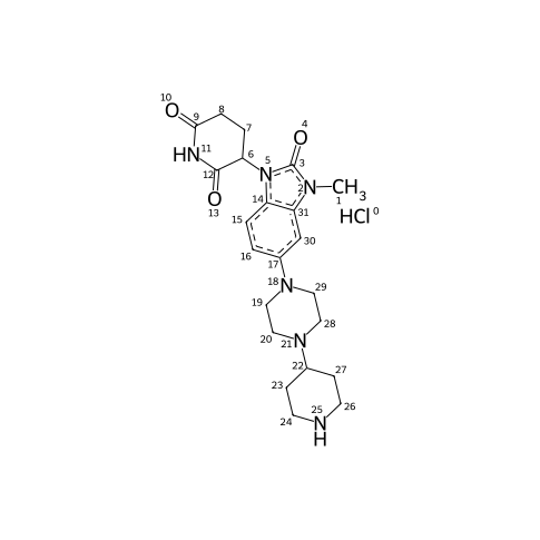 Cl.Cn1c(=O)n(C2CCC(=O)NC2=O)c2ccc(N3CCN(C4CCNCC4)CC3)cc21